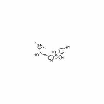 Cc1nn(C)cc1C(O)C#Cc1cncc([C@@](O)(c2ccc(C(C)C)cc2)C2(C)CN(C)C2)c1